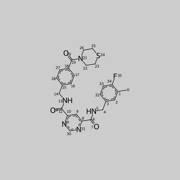 Cc1cc(CNC(=O)c2cc(C(=O)NCc3ccc(C(=O)N4CCSCC4)cc3)ncn2)ccc1F